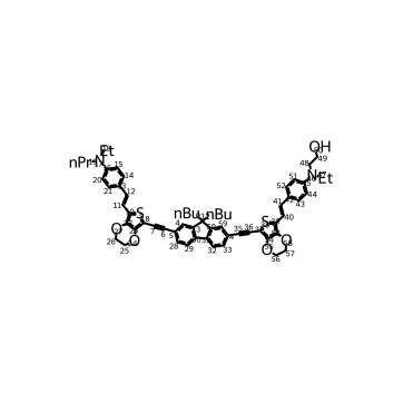 CCCCC1(CCCC)c2cc(C#Cc3sc(/C=C/c4ccc(N(CC)CCC)cc4)c4c3OCCO4)ccc2-c2ccc(C#Cc3sc(/C=C/c4ccc(N(CC)CCO)cc4)c4c3OCCO4)cc21